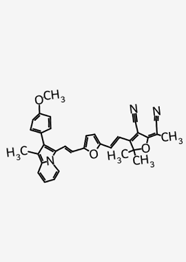 COc1ccc(-c2c(C)c3ccccn3c2/C=C/c2ccc(/C=C/C3=C(C#N)C(=C(/C)C#N)/OC3(C)C)o2)cc1